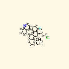 CC1(C)CCCc2ccc3c(cc(CCCCl)c4c(F)cccc43)c21.c1ccc2ncccc2c1